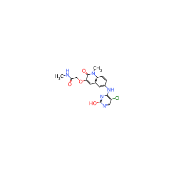 CNC(=O)COc1cc2cc(Nc3nc(O)ncc3Cl)ccc2n(C)c1=O